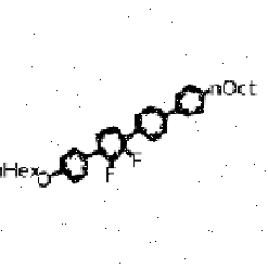 CCCCCCCCc1ccc(-c2ccc(-c3ccc(-c4ccc(OCCCCCC)cc4)c(F)c3F)cc2)cc1